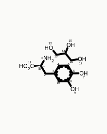 N[C@@H](Cc1ccc(O)c(O)c1)C(=O)O.OCC(O)CO